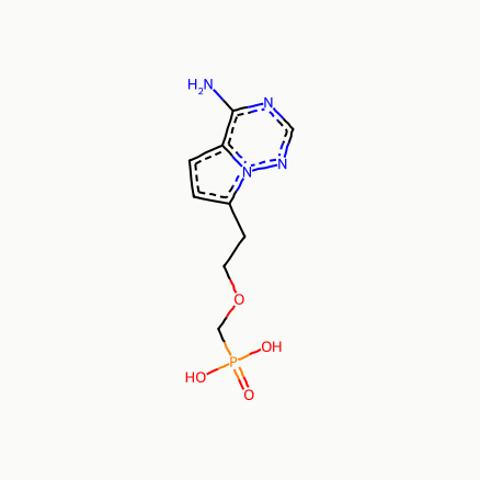 Nc1ncnn2c(CCOCP(=O)(O)O)ccc12